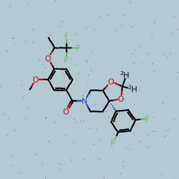 [2H]C1([2H])OC2CN(C(=O)c3ccc(OC(C)C(F)(F)F)c(OC)c3)CC[C@]2(c2cc(F)cc(F)c2)O1